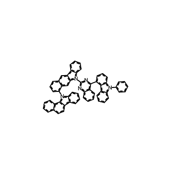 c1ccc(-n2c3ccccc3c3c(-c4nc(-n5c6ccccc6c6cc7cccc(-n8c9ccccc9c9ccc%10ccccc%10c98)c7cc65)nc5ccccc45)cccc32)cc1